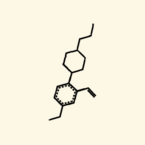 C=Cc1cc(CC)ccc1C1CCC(CCC)CC1